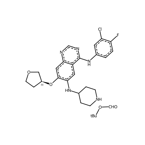 CC(C)(C)OC=O.Fc1ccc(Nc2ncnc3cc(O[C@H]4CCOC4)c(NC4CCNCC4)cc23)cc1Cl